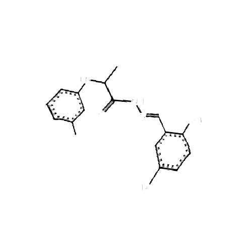 CC(Nc1cccc(F)c1)C(=O)NN=Cc1cc(Br)ccc1O